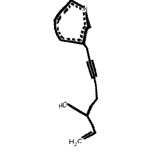 C=CC(O)CC#Cc1cccnc1